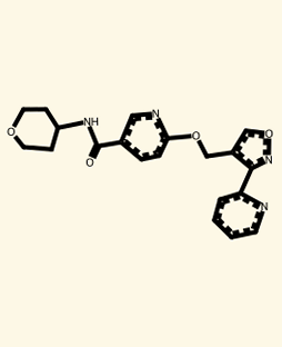 O=C(NC1CCOCC1)c1ccc(OCc2conc2-c2ccccn2)nc1